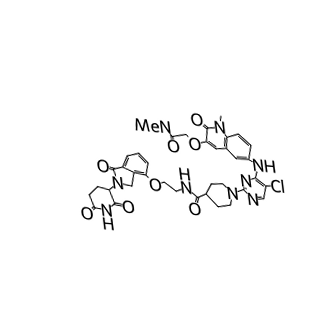 CNC(=O)COc1cc2cc(Nc3nc(N4CCC(C(=O)NCCOc5cccc6c5CN(C5CCC(=O)NC5=O)C6=O)CC4)ncc3Cl)ccc2n(C)c1=O